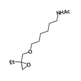 CCC1(COCCCCCCNC(C)=O)CO1